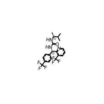 CC(C)[C@H](C)NC(=O)N[C@@H](c1ccc(C(F)(F)F)cc1)c1ncccc1C(F)(F)F